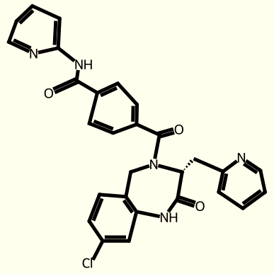 O=C(Nc1ccccn1)c1ccc(C(=O)N2Cc3ccc(Cl)cc3NC(=O)[C@H]2Cc2ccccn2)cc1